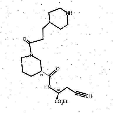 C#CC[C@H](NC(=O)[C@@H]1CCCN(C(=O)CCC2CCNCC2)C1)C(=O)OCC